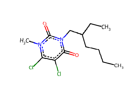 CCCCC(CC)Cn1c(=O)c(Cl)c(Cl)n(C)c1=O